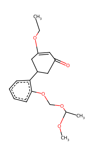 CCOC1=CC(=O)CC(c2ccccc2OCOC(C)OC)C1